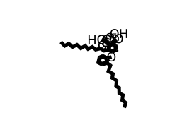 CCCCCCCCCCCCc1ccccc1Oc1ccc(S(=O)(=O)O)c(S(=O)(=O)O)c1CCCCCCCCCCCC